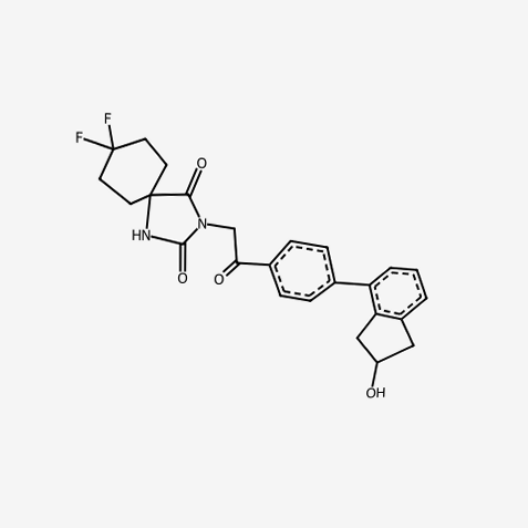 O=C(CN1C(=O)NC2(CCC(F)(F)CC2)C1=O)c1ccc(-c2cccc3c2CC(O)C3)cc1